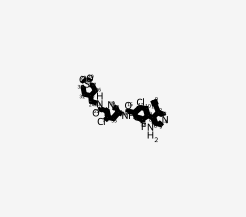 C#Cc1cncc(N)c1-c1cc(Cl)c(C(=O)Nc2cnc(C(=O)NCC3CCS(=O)(=O)CC3)c(Cl)c2)cc1F